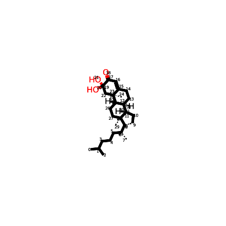 CC(C)CCC[C@@H](C)[C@H]1CC[C@H]2[C@@H]3CCC4=CC(=O)C(O)(O)C[C@]4(C)[C@H]3CC[C@]12C